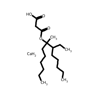 CCCCCCC(C)(OC(=O)CC(=O)O)C(CC)CCCCC.[CaH2]